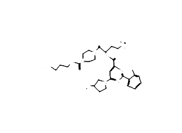 CCCCOC(=O)N1CCN(C(=O)C(CCP(=O)(O)O)NC(=O)c2cc(N3CCC(OC)C3)nc(-c3ccccc3F)n2)CC1